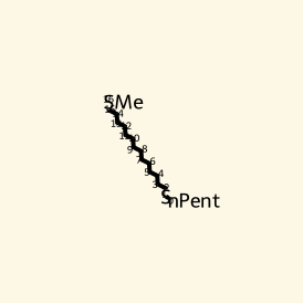 CCCCCSCCCCCCCCCCCCCCSC